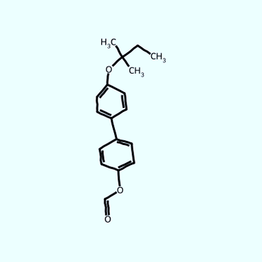 CCC(C)(C)Oc1ccc(-c2ccc(OC=O)cc2)cc1